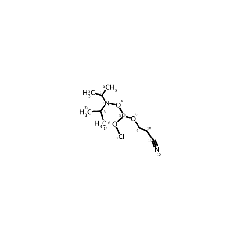 CC(C)N(OP(OCl)OCCC#N)C(C)C